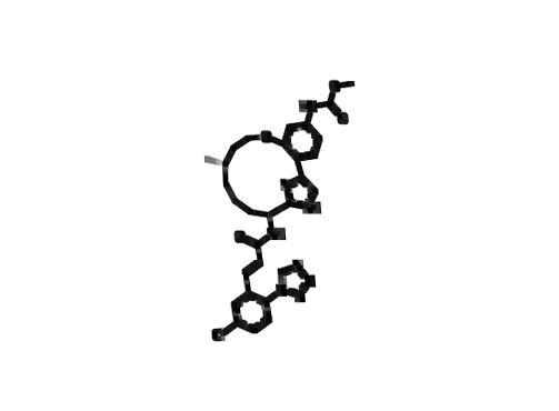 COC(=O)Nc1ccc2c(c1)OCC[C@@H](C)CCCC(NC(=O)C=Cc1cc(Cl)ccc1-n1cnnn1)c1nc-2c[nH]1